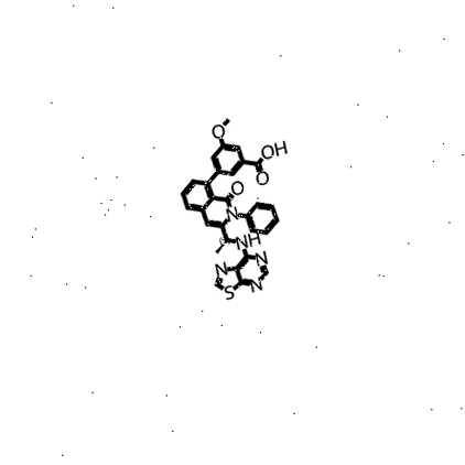 COc1cc(C(=O)O)cc(-c2cccc3cc([C@H](C)Nc4ncnc5scnc45)n(-c4ccccc4)c(=O)c23)c1